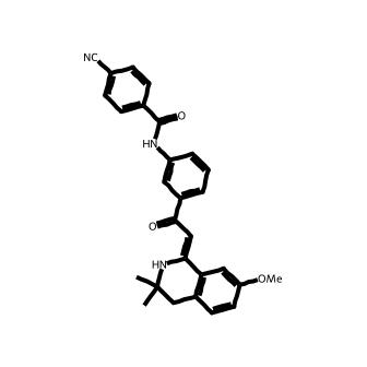 COc1ccc2c(c1)C(=CC(=O)c1cccc(NC(=O)c3ccc(C#N)cc3)c1)NC(C)(C)C2